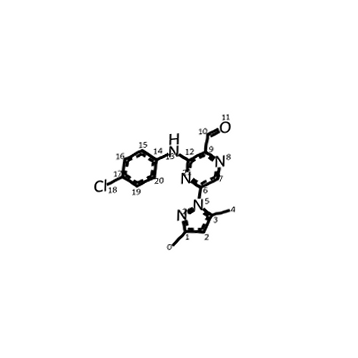 Cc1cc(C)n(-c2cnc(C=O)c(Nc3ccc(Cl)cc3)n2)n1